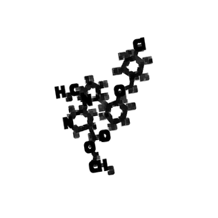 CCOC(=O)c1cncc(-n2c(C)ccc2-c2ccccc2OCc2ccc(Cl)cc2)c1